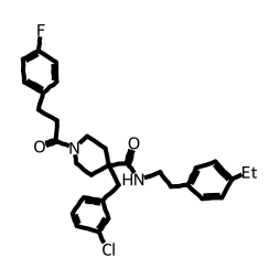 CCc1ccc(CCNC(=O)C2(Cc3cccc(Cl)c3)CCN(C(=O)CCc3ccc(F)cc3)CC2)cc1